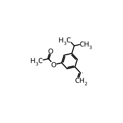 C=[C]c1cc(OC(C)=O)cc(C(C)C)c1